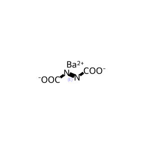 O=C([O-])/N=N/C(=O)[O-].[Ba+2]